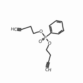 C#CCCOP(=O)(OCCC#C)c1ccccc1